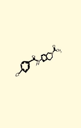 CC(=O)N1CCc2cc(NC(=O)c3ccc(Cl)cc3)ccc2C1